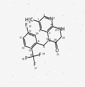 Cc1cnc2c(c1)N(Cc1cc(F)ccc1C(F)(F)F)C(=O)CN2